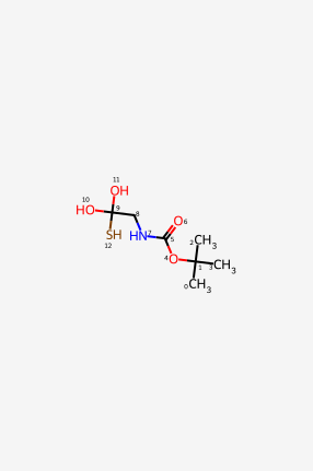 CC(C)(C)OC(=O)NCC(O)(O)S